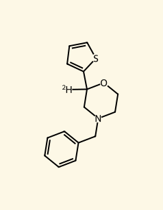 [2H]C1(c2cccs2)CN(Cc2ccccc2)CCO1